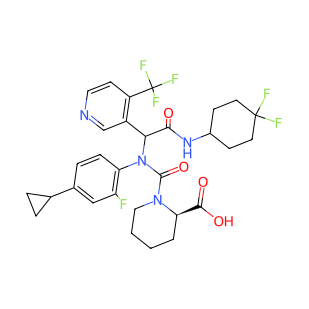 O=C(NC1CCC(F)(F)CC1)C(c1cnccc1C(F)(F)F)N(C(=O)N1CCCC[C@@H]1C(=O)O)c1ccc(C2CC2)cc1F